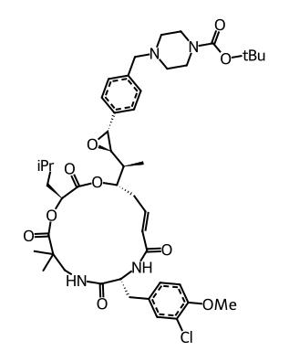 COc1ccc(C[C@H]2NC(=O)/C=C/C[C@@H]([C@H](C)[C@H]3O[C@@H]3c3ccc(CN4CCN(C(=O)OC(C)(C)C)CC4)cc3)OC(=O)[C@H](CC(C)C)OC(=O)C(C)(C)CNC2=O)cc1Cl